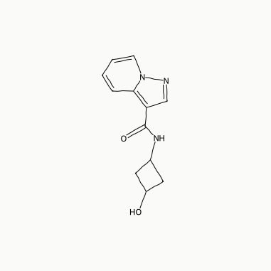 O=C(NC1CC(O)C1)c1cnn2ccccc12